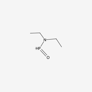 CCN(CC)[PH]=O